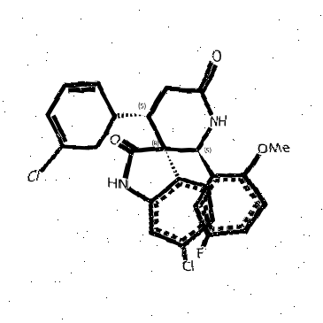 COc1ccc(F)cc1[C@@H]1NC(=O)C[C@@H](C2C=CC=C(Cl)C2)[C@]12C(=O)Nc1cc(Cl)ccc12